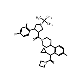 CC(C)(C)N1CC(C(=O)N2CCC(c3ccc(F)cc3C(C(=O)N3CCC3)C3CC3)CC2)C(c2ccc(F)cc2F)C1